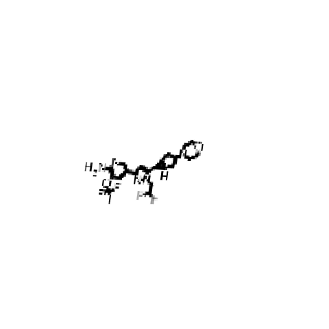 Nc1ncc(-c2cc(C3=C4CC(N5CCOCC5)C[C@H]43)n(CC(F)F)n2)cc1OC(F)(F)F